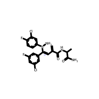 C=C(/C=C(/c1cc(F)cc(Cl)c1)N(N)c1ccc(F)c(Cl)c1)C(=O)NC(C)C(N)=O